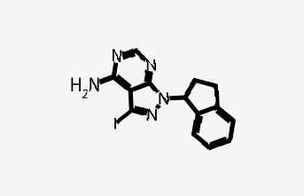 Nc1ncnc2c1c(I)nn2C1CCc2ccccc21